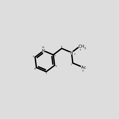 CC(=O)CN(C)Cc1ccccn1